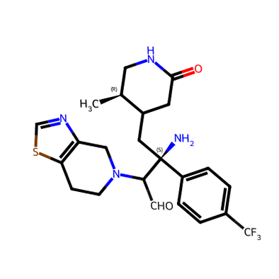 C[C@H]1CNC(=O)CC1C[C@](N)(c1ccc(C(F)(F)F)cc1)C(C=O)N1CCc2scnc2C1